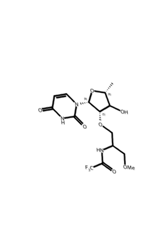 COCC(CO[C@H]1C(O)[C@@H](C)O[C@H]1n1ccc(=O)[nH]c1=O)NC(=O)C(F)(F)F